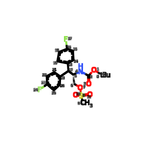 CC(C)(C)OC(=O)N[C@H](COS(C)(=O)=O)C(c1ccc(F)cc1)c1ccc(F)cc1